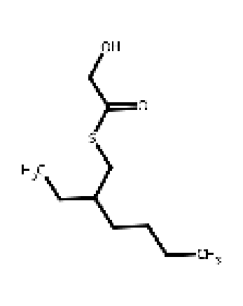 CCCCC(CC)CSC(=O)CO